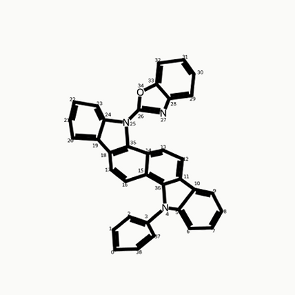 c1ccc(-n2c3ccccc3c3ccc4c(ccc5c6ccccc6n(-c6nc7ccccc7o6)c54)c32)cc1